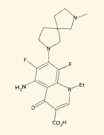 CCn1cc(C(=O)O)c(=O)c2c(N)c(F)c(N3CCC4(CCN(C)C4)C3)c(F)c21